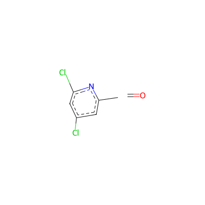 C=O.Cc1cc(Cl)cc(Cl)n1